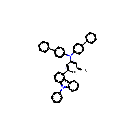 C=C/C=C(\C=C(/C)c1cccc2c1c1ccccc1n2-c1ccccc1)N(c1ccc(-c2ccccc2)cc1)c1ccc(-c2ccccc2)cc1